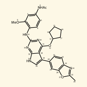 COc1cc(NC(C)=O)ccc1Nc1nc(OC2CCCC2)c2c(-c3ccc4nc(C)oc4c3)c[nH]c2n1